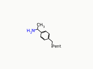 CCCC(C)Cc1ccc(C(C)N)cc1